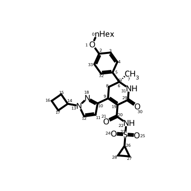 CCCCCCOc1ccc([C@]2(C)CC(c3ccn(C4CCC4)n3)=C(C(=O)NS(=O)(=O)C3CC3)C(=O)N2)cc1